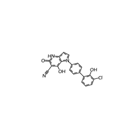 N#Cc1c(O)c2c(ccn2-c2ccc(-c3cccc(Cl)c3O)cc2)[nH]c1=O